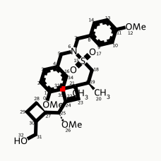 COc1ccc(CN(Cc2ccc(OC)cc2)S(=O)(=O)C[C@@H](C)C2(C)C=C([C@H](OC)[C@@H]3CCC3CO)C2)cc1